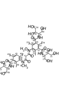 CN(C(=O)CC(=O)N(C)c1c(I)c(C(=O)NC(CO)C(O)CO)c(I)c(C(=O)NC(CO)C(O)CO)c1I)c1c(I)cc(I)c(C(=O)NC(CO)C(O)CO)c1I